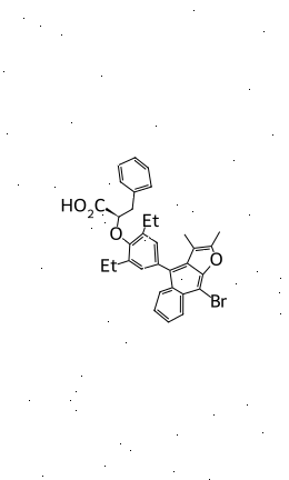 CCc1cc(-c2c3ccccc3c(Br)c3oc(C)c(C)c23)cc(CC)c1O[C@H](Cc1ccccc1)C(=O)O